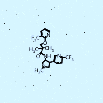 CN1CC(NC(=O)C(C)(C)COc2ncccc2C(F)(F)F)C(c2ccc(C(F)(F)F)nc2)C1